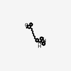 C=C1C=C(CCCCCCCCc2ccc(Nc3c4ccccc4nc4ccccc34)cc2)c2ccccc2C1=O